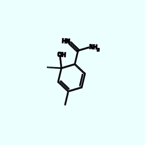 CC1=CC(C)(O)C(C(=N)N)C=C1